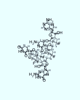 Nc1ccn([C@@H]2O[C@H](CC(F)(F)CC3[C@@H](CO)O[C@@H](n4cnc5c(N)ncnc54)[C@H]3O)C(CC(F)(F)CC[C@H]3O[C@@H](n4cnc5c(=O)[nH]c(N)nc54)[C@@H](O)C3CC(F)(F)CC[C@H]3O[C@@H](n4ccc(=O)[nH]c4=O)[C@@H](O)C3CC(F)(F)F)[C@@H]2O)c(=O)n1